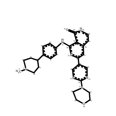 CN1CCC(c2ccc(Nc3nc(-c4cnc(N5CCOCC5)nc4)cc4cc[nH]c(=O)c34)cc2)CC1